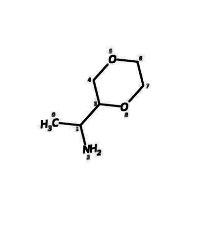 CC(N)C1COCCO1